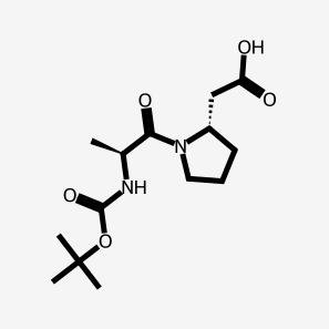 C[C@H](NC(=O)OC(C)(C)C)C(=O)N1CCC[C@H]1CC(=O)O